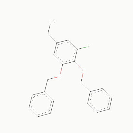 N#CCc1cc(F)c(OCc2ccccc2)c(OCc2ccccc2)c1